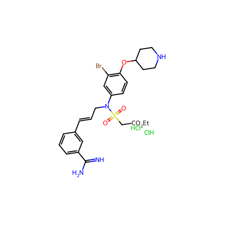 CCOC(=O)CS(=O)(=O)N(C/C=C/c1cccc(C(=N)N)c1)c1ccc(OC2CCNCC2)c(Br)c1.Cl.Cl